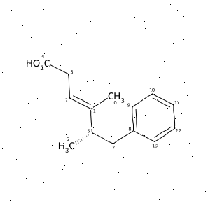 C/C(=C\CC(=O)O)[C@@H](C)Cc1ccccc1